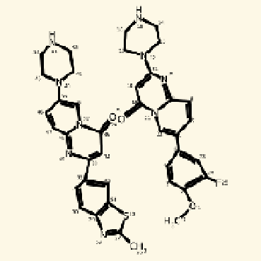 COc1ccc(-c2ccc3nc(N4CCNCC4)cc(=O)n3c2)cc1F.Cc1nc2ccc(-c3cc(=O)n4cc(N5CCNCC5)ccc4n3)cc2s1